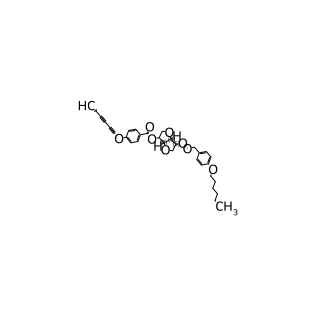 C#CC#CC#COc1ccc(C(=O)OC2CO[C@@H]3[C@@H](OOCc4ccc(OCCCCCC)cc4)CO[C@H]23)cc1